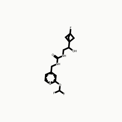 O=C(NCc1ccnc(OC(F)F)c1)NCC(O)C12CC(F)(C1)C2